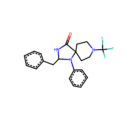 O=C1NC(Cc2ccccc2)N(c2ccccc2)C12CCN(C(F)(F)F)CC2